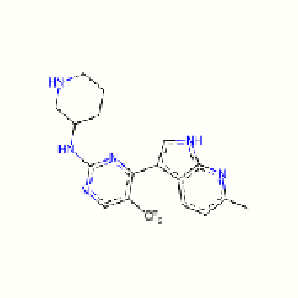 Cc1ccc2c(-c3nc(NC4CCCNC4)ncc3C(F)(F)F)c[nH]c2n1